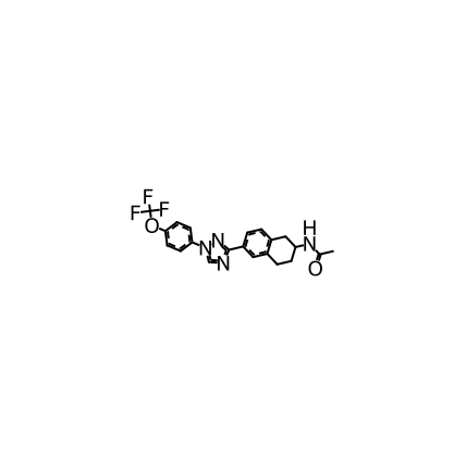 CC(=O)NC1CCc2cc(-c3ncn(-c4ccc(OC(F)(F)F)cc4)n3)ccc2C1